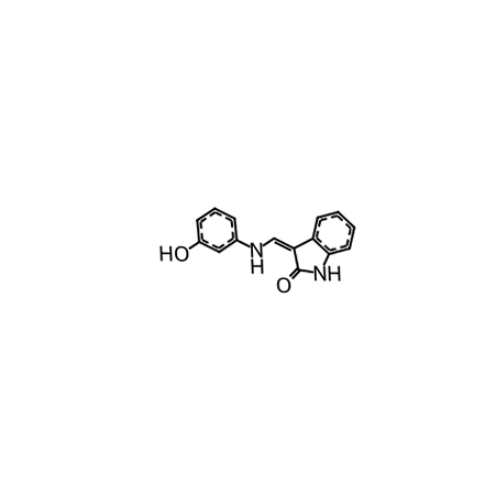 O=C1Nc2ccccc2C1=CNc1cccc(O)c1